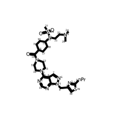 CCCc1nc(Cn2ncc3c(N4CCN(C(=O)C5CCC(N(CCN(C)C)S(C)(=O)=O)CC5)CC4)ncnc32)cs1